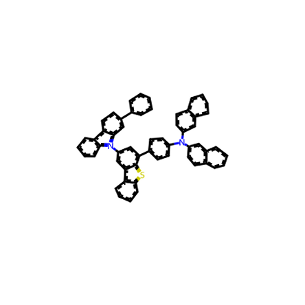 c1ccc(-c2ccc3c4ccccc4n(-c4cc(-c5ccc(N(c6ccc7ccccc7c6)c6ccc7ccccc7c6)cc5)c5sc6ccccc6c5c4)c3c2)cc1